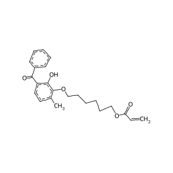 C=CC(=O)OCCCCCCOc1c(C)ccc(C(=O)c2ccccc2)c1O